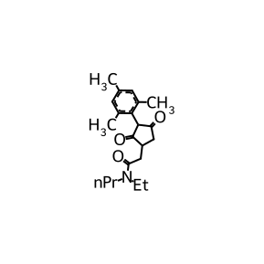 CCCN(CC)C(=O)CC1CC(=O)C(c2c(C)cc(C)cc2C)C1=O